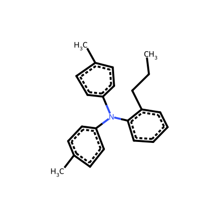 CCCc1ccccc1N(c1ccc(C)cc1)c1ccc(C)cc1